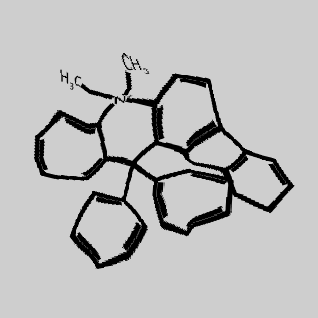 C[N+]1(C)c2ccccc2C(c2ccccc2)(c2ccccc2)c2c1ccc1c2C2=C1C=CCC2